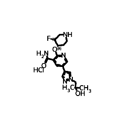 CC(C)(O)Cn1cc(-c2cnc(O[C@@H]3CCNC[C@@H]3F)c(C(N)=O)c2)cn1.Cl